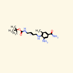 Cc1cc(C(N)=O)cc(N)c1NC/C=C/CNC(=O)OC(C)(C)C